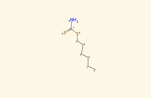 CCCCCCSC(N)=S